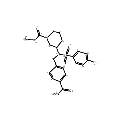 CNC(=O)c1ccc(CN(C2CCCN(C(=O)OC(C)(C)C)C2)S(=O)(=O)c2ccc(C(F)(F)F)cc2)cc1